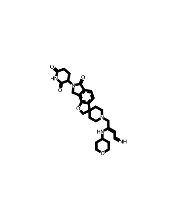 N=C/C=C(/CN1CCC2(CC1)COc1c2ccc2c1CN(C1CCC(=O)NC1=O)C2=O)NC1CCOCC1